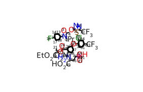 CC(C)N(C(=O)COc1nnc(C(F)(F)F)s1)c1ccc(F)cc1.CCOC(=O)C(C)OC(=O)c1cc(Oc2ccc(C(F)(F)F)cc2Cl)ccc1[N+](=O)[O-].CP(=O)(O)CCC(N)C(=O)O